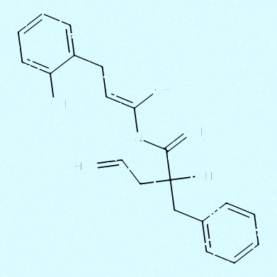 C=CCC(C)(Cc1ccccc1)C(=C)N/C(C)=C/Cc1ccccc1C